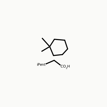 CC1(C)CCCCC1.CCCC(C)CC(=O)O